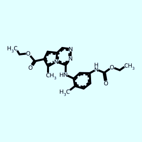 CCOC(=O)Nc1ccc(C)c(Nc2nncc3cc(C(=O)OCC)c(C)n23)c1